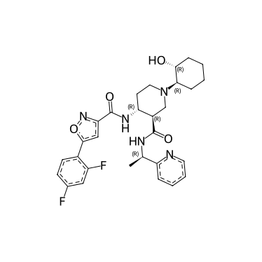 C[C@@H](NC(=O)[C@@H]1CN([C@@H]2CCCC[C@H]2O)CC[C@H]1NC(=O)c1cc(-c2ccc(F)cc2F)on1)c1ccccn1